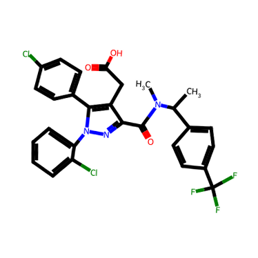 CC(c1ccc(C(F)(F)F)cc1)N(C)C(=O)c1nn(-c2ccccc2Cl)c(-c2ccc(Cl)cc2)c1CC(=O)O